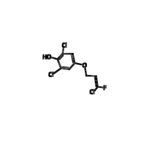 Oc1c(Cl)cc(OCC=C(F)Cl)cc1Cl